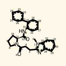 Cn1c(CCC(=O)N2CCC[C@H]2C(=O)Nc2ccccc2-c2ccccc2)nc2ccccc21